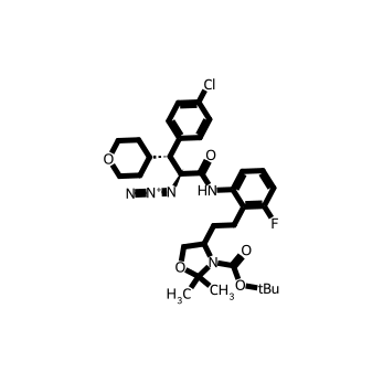 CC(C)(C)OC(=O)N1C(CCc2c(F)cccc2NC(=O)[C@@H](N=[N+]=[N-])[C@@H](c2ccc(Cl)cc2)C2CCOCC2)COC1(C)C